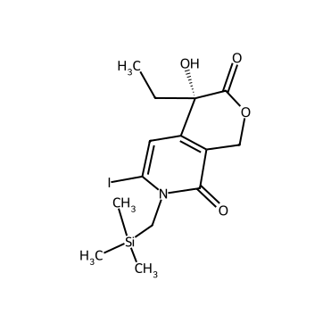 CC[C@@]1(O)C(=O)OCc2c1cc(I)n(C[Si](C)(C)C)c2=O